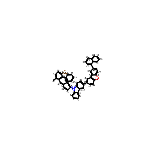 C=c1cc(-n2c3ccccc3c3cc(-c4ccc5oc6ccc(-c7cccc8ccccc78)cc6c5c4)ccc32)cc/c1=C/c1c(C)ccc2sc3ccccc3c12